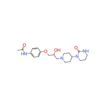 CC(=O)Nc1ccc(OCC(O)CN2CCC(N3CCCNC3=O)CC2)cc1